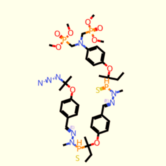 CCC(C)(Oc1ccc(/C=N/N(C)[PH](=S)C(C)(CC)Oc2ccc(N(CP(=O)(OC)OC)CP(=O)(OC)OC)cc2)cc1)[PH](=S)N(C)/N=C/c1ccc(OC(C)(C)N=[N+]=[N-])cc1